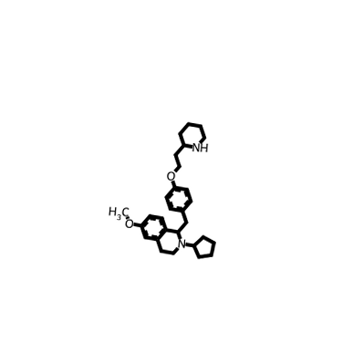 COc1ccc2c(c1)CCN(C1CCCC1)C2Cc1ccc(OCCC2CCCCN2)cc1